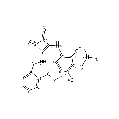 CCOc1ccccc1CNc1c(Nc2ccc(Cl)c(SN(C)C)c2O)c(=O)c1=O